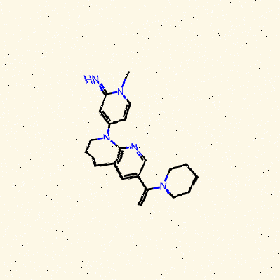 C=C(c1cnc2c(c1)CCCN2c1ccn(C)c(=N)c1)N1CCCCC1